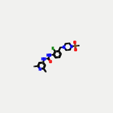 Cc1cc(NC(=O)Nc2cccc(CN3CCN(S(C)(=O)=O)CC3)c2F)cc(C)n1